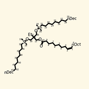 CCCCCCCC/C=C\CCCCCCCC(=O)OCC(CC)(CO[Si](C)(C)CCCCCCCCCCCCCCCCCC)CO[Si](C)(C)CCCCCCCCCCCCCCCCCC